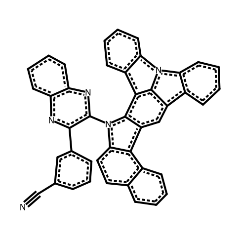 N#Cc1cccc(-c2nc3ccccc3nc2-n2c3ccc4ccccc4c3c3cc4c5ccccc5n5c6ccccc6c(c32)c45)c1